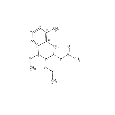 CCCC(CCC(C)=O)C(CC)c1cccc(C)c1C